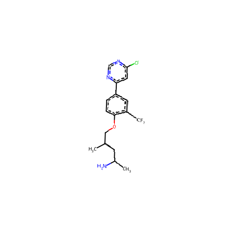 CC(N)CC(C)COc1ccc(-c2cc(Cl)ncn2)cc1C(F)(F)F